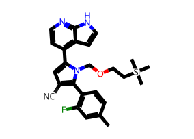 Cc1ccc(-c2c(C#N)cc(-c3ccnc4[nH]ccc34)n2COCC[Si](C)(C)C)c(F)c1